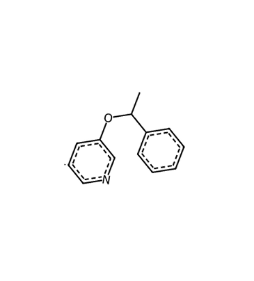 CC(Oc1c[c]cnc1)c1ccccc1